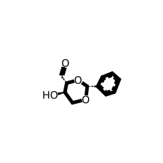 O=C[C@@H]1O[C@H](c2ccccc2)OC[C@H]1O